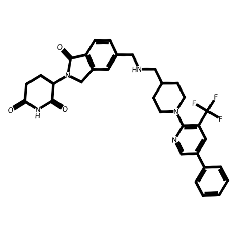 O=C1CCC(N2Cc3cc(CNCC4CCN(c5ncc(-c6ccccc6)cc5C(F)(F)F)CC4)ccc3C2=O)C(=O)N1